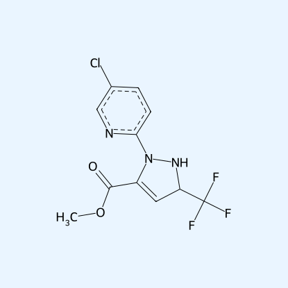 COC(=O)C1=CC(C(F)(F)F)NN1c1ccc(Cl)cn1